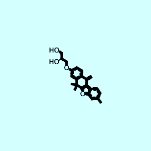 C=C1c2ccc(OC[C@H](O)CO)cc2C(C)(C)c2oc3cc(C)ccc3c21